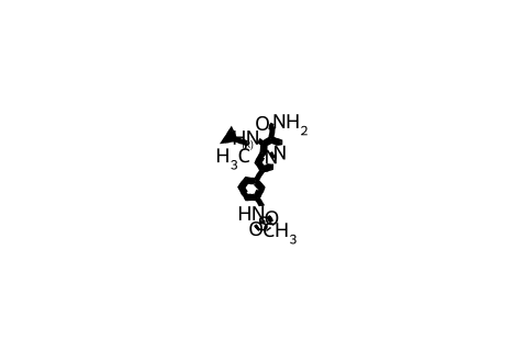 C[C@@H](Nc1c(C(N)=O)cnn2cc(-c3cccc(CNS(C)(=O)=O)c3)cc12)C1CC1